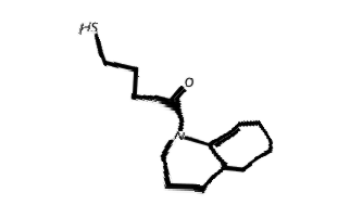 O=C(CCCS)N1CCCC2CCCC=C21